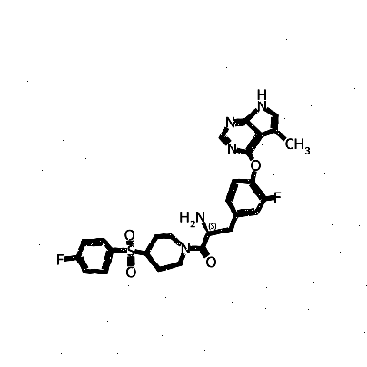 Cc1c[nH]c2ncnc(Oc3ccc(C[C@H](N)C(=O)N4CCC(S(=O)(=O)c5ccc(F)cc5)CC4)cc3F)c12